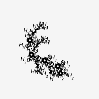 COc1ccc(NC(=O)[C@H](CCCNC(=N)N)NC(=O)c2cc(NC(=O)[C@@H](N)CCCNC(=N)N)ccc2OC)cc1C(=O)N[C@@H](CCCNC(=N)N)C(=O)Nc1ccc(OC)c(C(=O)N[C@@H](CCCNC(=N)N)C(=O)Nc2ccc(OC)c(C(=O)C3CCC[C@H]3C(N)=O)c2)c1